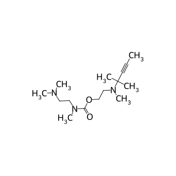 CC#CC(C)(C)N(C)CCOC(=O)N(C)CCN(C)C